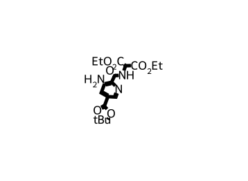 CCOC(=O)C(NC(=O)c1ncc(C(=O)OC(C)(C)C)cc1N)C(=O)OCC